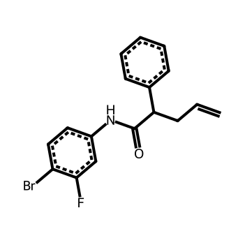 C=CCC(C(=O)Nc1ccc(Br)c(F)c1)c1ccccc1